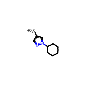 O=C(O)c1cnn(C2CCCCC2)c1